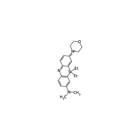 CC[Si]1(CC)C2=CC(=[N+]3CCOCC3)C=CC2=Nc2ccc(N(C)C)cc21